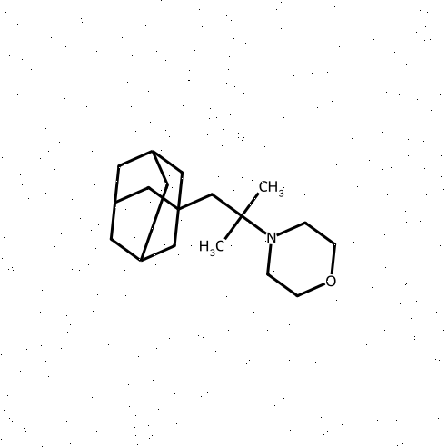 CC(C)(CC12CC3CC(CC(C3)C1)C2)N1CCOCC1